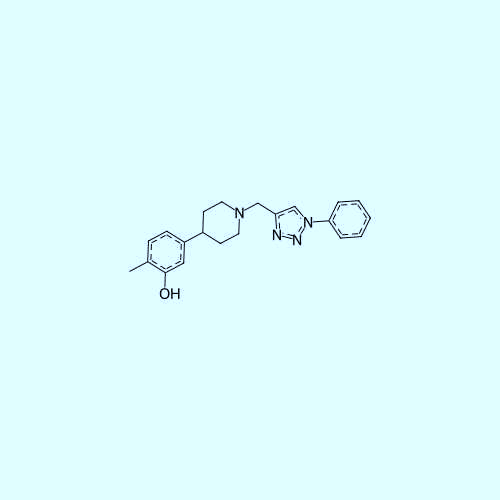 Cc1ccc(C2CCN(Cc3cn(-c4ccccc4)nn3)CC2)cc1O